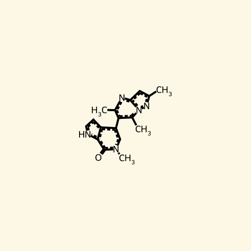 Cc1cc2nc(C)c(-c3cn(C)c(=O)c4[nH]ccc34)c(C)n2n1